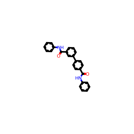 O=C(Nc1ccccc1)c1ccc(-c2cccc(C(=O)Nc3ccccc3)c2)cc1